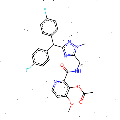 COc1ccnc(C(=O)N[C@@H](C)c2nc(C(c3ccc(F)cc3)c3ccc(F)cc3)nn2C)c1OC(C)=O